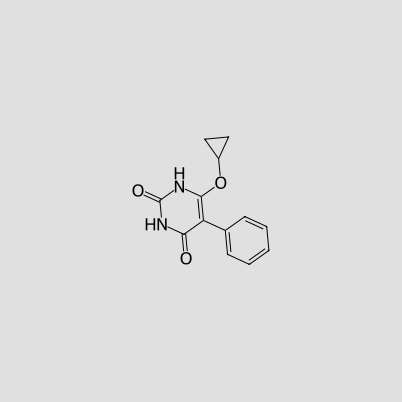 O=c1[nH]c(OC2CC2)c(-c2ccccc2)c(=O)[nH]1